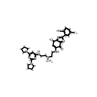 CN(CCNC1=CC(=O)c2nc(-c3cc(F)ccc3F)oc2C1=O)CCNc1cc(N2CCCC2)nc(N2CCCC2)n1